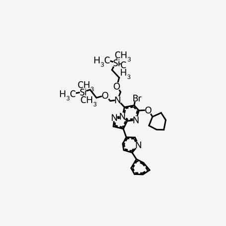 C[Si](C)(C)CCOCN(COCC[Si](C)(C)C)c1c(Br)c(OC2CCCCC2)nc2c(-c3ccc(-c4ccccc4)nc3)cnn12